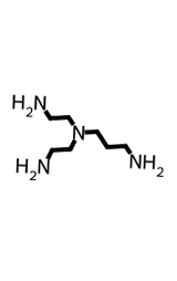 NCCCN(CCN)CCN